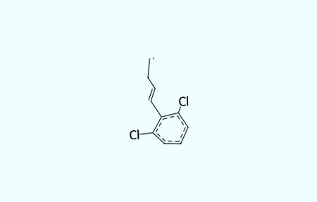 [CH2]CC=Cc1c(Cl)cccc1Cl